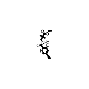 C#Cc1cnc(C(=O)NCC(C)(C)C(=O)OCC)c(O)c1